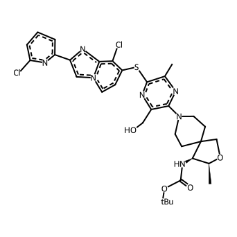 Cc1nc(N2CCC3(CC2)CO[C@@H](C)[C@H]3NC(=O)OC(C)(C)C)c(CO)nc1Sc1ccn2cc(-c3cccc(Cl)n3)nc2c1Cl